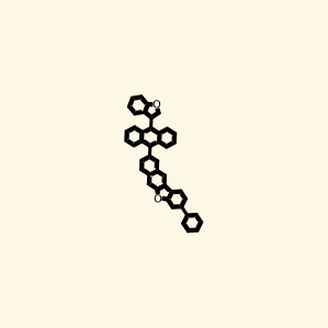 c1ccc(-c2ccc3c(c2)oc2cc4ccc(-c5c6ccccc6c(-c6coc7ccccc67)c6ccccc56)cc4cc23)cc1